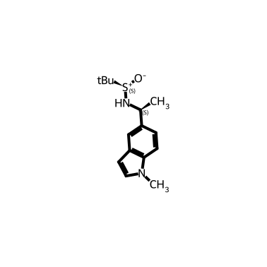 C[C@H](N[S@+]([O-])C(C)(C)C)c1ccc2c(ccn2C)c1